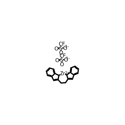 C1=C2CCC3=Cc4ccccc4[CH]3[Zr+2][CH]2c2ccccc21.O=S(=O)([O-])C(F)(F)F.O=S(=O)([O-])C(F)(F)F